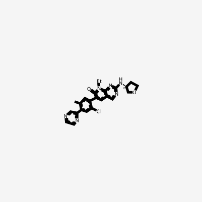 CCn1c(=O)c(-c2cc(C)c(-c3cnccn3)cc2Cl)cc2cnc(N[C@@H]3CCOC3)nc21